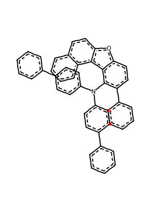 c1ccc(-c2ccc(N(c3ccc(-c4ccccc4)cc3)c3c(-c4ccccc4)ccc4oc5ccc6ccccc6c5c34)cc2)cc1